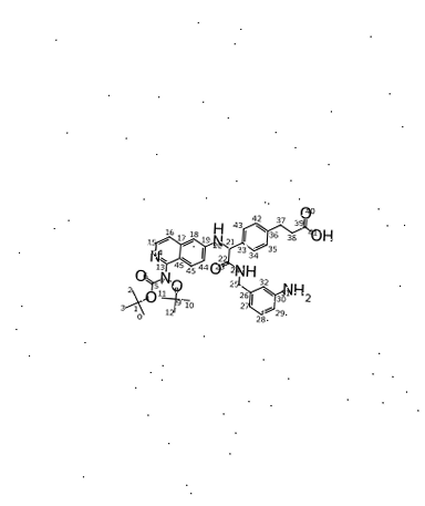 CC(C)(C)OC(=O)N(OC(C)(C)C)c1nccc2cc(NC(C(=O)NCc3cccc(N)c3)c3ccc(CCC(=O)O)cc3)ccc12